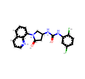 O=C(Nc1cc(F)ccc1F)NC1CC(=O)N(c2cccc3cccnc23)C1